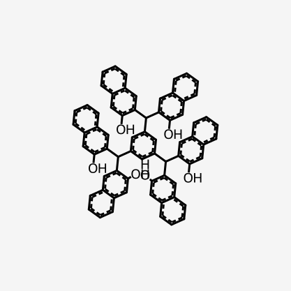 Oc1cc2ccccc2cc1C(c1cc(C(c2cc3ccccc3cc2O)c2cc3ccccc3cc2O)cc(C(c2cc3ccccc3cc2O)c2cc3ccccc3cc2O)c1)c1cc2ccccc2cc1O